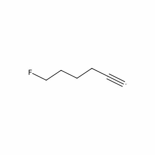 [C]#CCCCCF